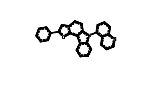 c1ccc(-c2cc3ccc4c(c5ccccc5n4-c4cccc5ncccc45)c3o2)cc1